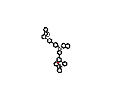 c1cc(-c2ccc(N(c3ccc(-c4ccc(-c5cccc6c5oc5ccccc56)cc4)cc3)c3ccc4ccccc4c3)cc2)cc(-c2ccccc2-n2c3ccccc3c3ccccc32)c1